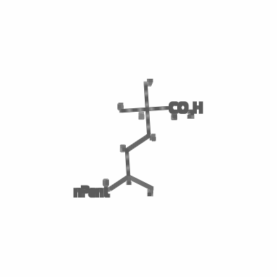 CCCCCC(C)CCC(C)(C)C(=O)O